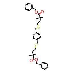 CC(C)(CCSCc1ccc(CSCCC(C)(C)C(=O)OCc2ccccc2)cc1)C(=O)OCc1ccccc1